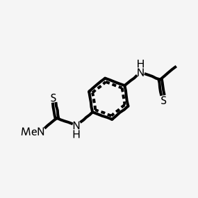 CNC(=S)Nc1ccc(NC(C)=S)cc1